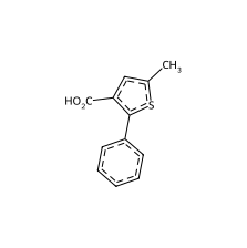 Cc1cc(C(=O)O)c(-c2ccccc2)s1